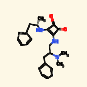 C[C@@H](Cc1ccccc1)Nc1c(NCC(Cc2ccccc2)N(C)C)c(=O)c1=O